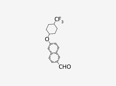 O=Cc1ccc2cc(OC3CCC(C(F)(F)F)CC3)ccc2c1